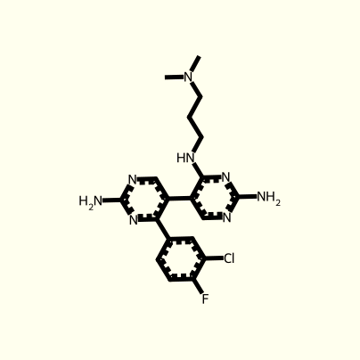 CN(C)CCCNc1nc(N)ncc1-c1cnc(N)nc1-c1ccc(F)c(Cl)c1